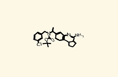 CC(c1ccc2c(c1)N=C(N)C1CCCC21)N(Cc1cccc(Cl)c1)C(=O)OC(C)(C)C